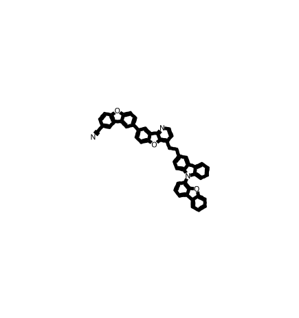 N#Cc1ccc2oc3ccc(-c4ccc5oc6c(CCc7ccc8c(c7)c7ccccc7n8-c7cccc8c7oc7ccccc78)ccnc6c5c4)cc3c2c1